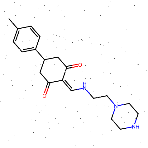 Cc1ccc(C2CC(=O)C(=CNCCN3CCNCC3)C(=O)C2)cc1